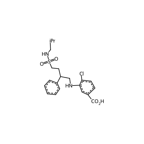 CC(C)CNS(=O)(=O)CCC(CNc1cc(C(=O)O)ccc1Cl)c1ccccc1